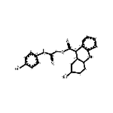 CC(C)(C)C1CCC2Nc3ccccc3C(C(=O)OCC(=O)Nc3ccc(C#N)cc3)C2C1